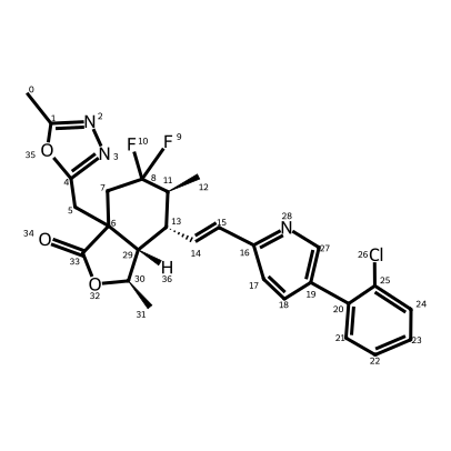 Cc1nnc(CC23CC(F)(F)[C@@H](C)[C@H](/C=C/c4ccc(-c5ccccc5Cl)cn4)[C@@H]2[C@@H](C)OC3=O)o1